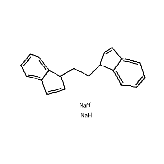 C1=CC(CCC2C=Cc3ccccc32)c2ccccc21.[NaH].[NaH]